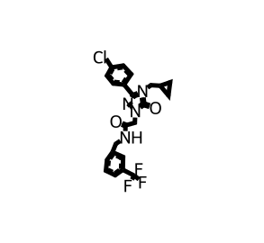 O=C(Cn1nc(-c2ccc(Cl)cc2)n(CC2CC2)c1=O)NCc1cccc(C(F)(F)F)c1